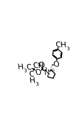 Cc1ccc(OC[C@@H]2CCCN2C(=O)OC(C)(C)C)cc1